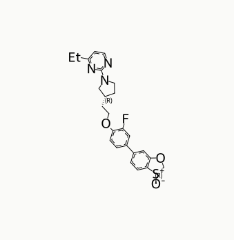 CCc1ccnc(N2CC[C@H](CCOc3ccc(-c4ccc5c(c4)OC[S@@+]5[O-])cc3F)C2)n1